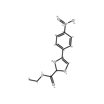 CCOC(=O)C1OC=C(c2ccc([N+](=O)[O-])cc2)O1